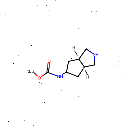 CC(C)(C)OC(=O)NC1C[C@H]2CNC[C@H]2C1